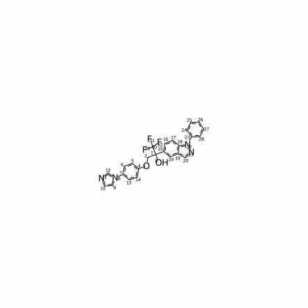 OC(COc1ccc(-n2ccnc2)cc1)(c1ccc2c(cnn2-c2ccccc2)c1)C(F)(F)F